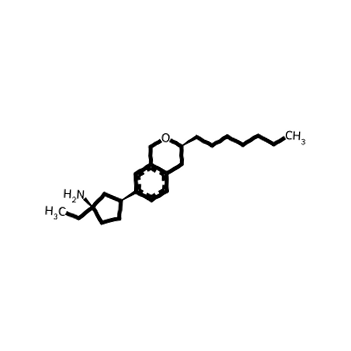 CCCCCCC[C@H]1Cc2ccc([C@H]3CC[C@](N)(CC)C3)cc2CO1